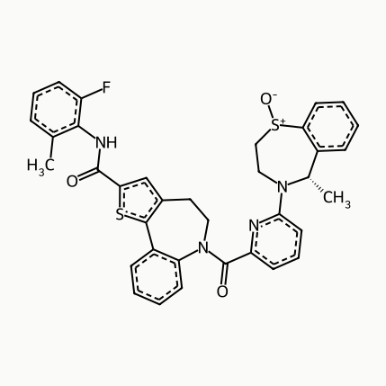 Cc1cccc(F)c1NC(=O)c1cc2c(s1)-c1ccccc1N(C(=O)c1cccc(N3CC[S+]([O-])c4ccccc4[C@@H]3C)n1)CC2